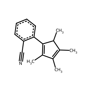 CC1=C(C)C(C)C(c2ccccc2C#N)=C1C